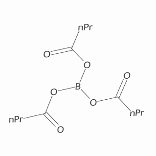 CCCC(=O)OB(OC(=O)CCC)OC(=O)CCC